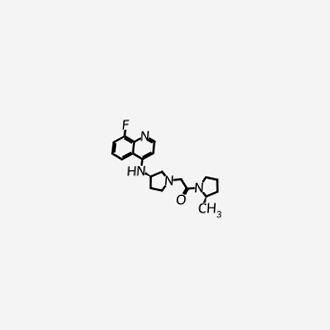 C[C@@H]1CCCN1C(=O)CN1CC[C@@H](Nc2ccnc3c(F)cccc23)C1